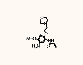 C=CC(=O)Nc1cc(N)c(OC)cc1OCCN1CCOCC1